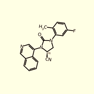 Cc1ccc(F)cc1N1C[C@@H](C#N)N(c2cncc3ccccc23)C1=O